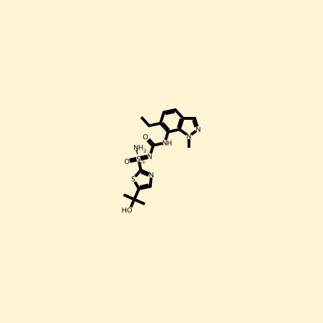 CCc1ccc2cnn(C)c2c1NC(=O)N=[S@](N)(=O)c1ncc(C(C)(C)O)s1